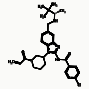 C=CC(=O)N1CCCC(n2c(NC(=O)c3ccc(Cl)cc3)nc3cc(CN[C@@H](C)C(C)(C)C)ccc32)C1